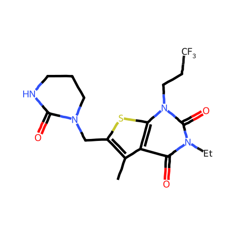 CCn1c(=O)c2c(C)c(CN3CCCNC3=O)sc2n(CCC(F)(F)F)c1=O